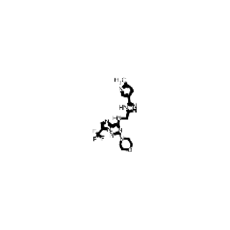 Cc1ccc(-c2nnc(CNc3nc(N4CCOCC4)nn4c(C(F)(F)F)cnc34)[nH]2)cn1